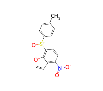 Cc1ccc([S+]([O-])c2ccc([N+](=O)[O-])c3ccoc23)cc1